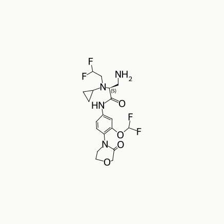 NC[C@@H](C(=O)Nc1ccc(N2CCOCC2=O)c(OC(F)F)c1)N(CC(F)F)C1CC1